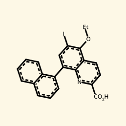 CCOc1c(I)cc(-c2cccc3ccccc23)c2nc(C(=O)O)ccc12